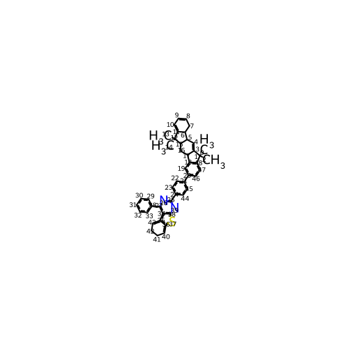 CC1(C)C2=CC3C4CC=CC=C4C(C)(C)C3CC2c2cc(-c3ccc(-c4nc(-c5ccccc5)c5c6c(sc5n4)=CCCC=6)cc3)ccc21